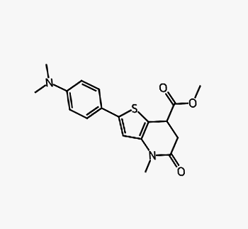 COC(=O)C1CC(=O)N(C)c2cc(-c3ccc(N(C)C)cc3)sc21